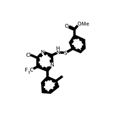 COC(=O)c1cccc(SNc2nc(Cl)c(C(F)(F)F)c(-c3ccccc3C)n2)c1